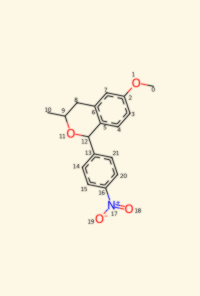 COc1ccc2c(c1)CC(C)OC2c1ccc([N+](=O)[O-])cc1